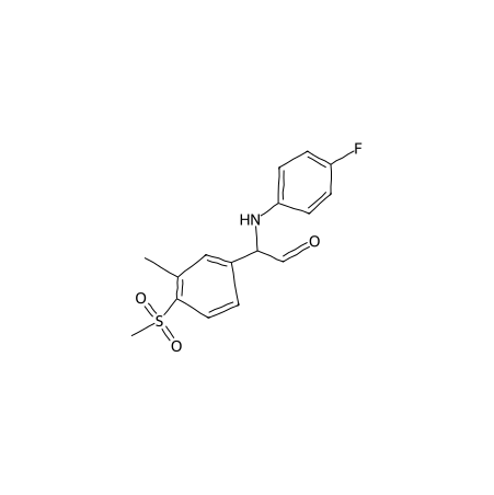 Cc1cc(C(C=O)Nc2ccc(F)cc2)ccc1S(C)(=O)=O